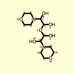 OC(OC(O)C(O)N1CCOCC1)C(O)N1CCOCC1